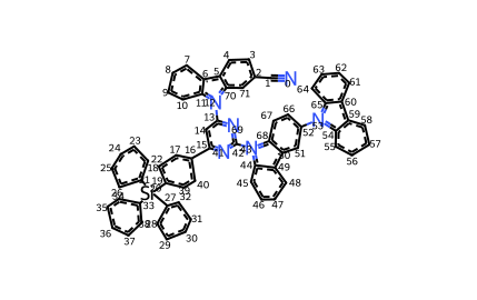 N#Cc1ccc2c3ccccc3n(-c3cc(-c4ccc([Si](c5ccccc5)(c5ccccc5)c5ccccc5)cc4)nc(-n4c5ccccc5c5cc(-n6c7ccccc7c7ccccc76)ccc54)n3)c2c1